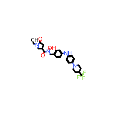 CCN1CC(C(=O)N(O)Cc2ccc(Nc3ccc(N4CCC(C(F)(F)F)CC4)cc3)cc2)CC1=O